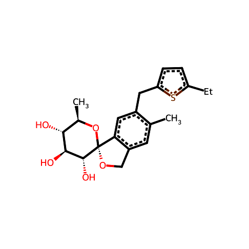 CCc1ccc(Cc2cc3c(cc2C)CO[C@]32O[C@H](C)[C@@H](O)[C@H](O)[C@H]2O)s1